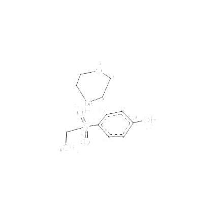 C1COCCN1.CCS(=O)(=O)c1ccc(O)cc1